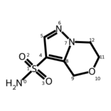 NS(=O)(=O)c1cnn2c1COCC2